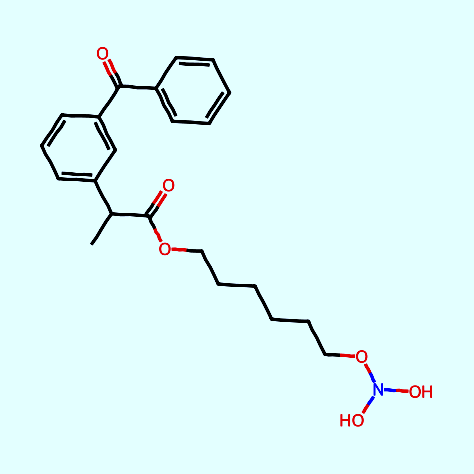 CC(C(=O)OCCCCCCON(O)O)c1cccc(C(=O)c2ccccc2)c1